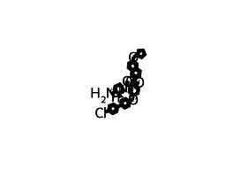 N[C@H]1CCN(C(=O)[C@H]2C[C@H](Oc3ccc(-c4ccc(Cl)cc4)cc3)CCN2S(=O)(=O)c2ccc3cc(OC4CCCC4)ccc3c2)CC1(F)F